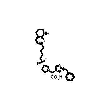 O=C(O)[C@@H](c1cnn(Cc2ccccc2)c1)N1CC[C@H](C(F)(F)CCCCc2ccc3c(n2)NCCC3)C1